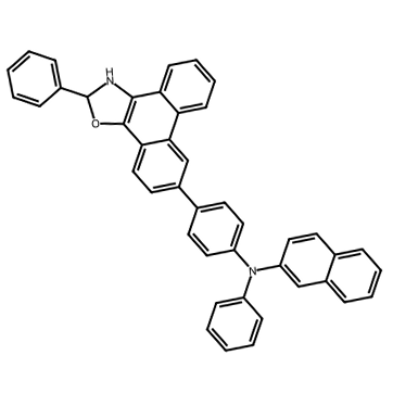 c1ccc(C2Nc3c(c4ccc(-c5ccc(N(c6ccccc6)c6ccc7ccccc7c6)cc5)cc4c4ccccc34)O2)cc1